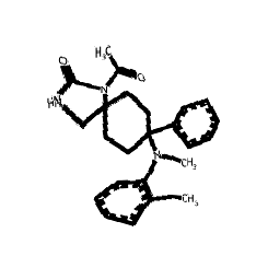 CC(=O)N1C(=O)NCC12CCC(c1ccccc1)(N(C)c1ccccc1C)CC2